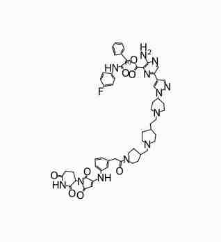 Nc1ncc(-c2cnn(C3CCN(CCC4CCN(CC5CCN(C(=O)Cc6cccc(NC7=CC(=O)N(C8CCC(=O)NC8=O)C7=O)c6)CC5)CC4)CC3)c2)nc1C(=O)O[C@@H](C(=O)Nc1ccc(F)cc1)c1ccccc1